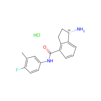 Cc1cc(NC(=O)c2cccc3c2CC[C@@H]3N)ccc1F.Cl